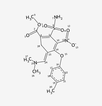 COC(=O)C1=C(S(N)(=O)=O)C([N+](=O)[O-])=C(Oc2ccc(C)cc2)C(=CN(C)C)C1